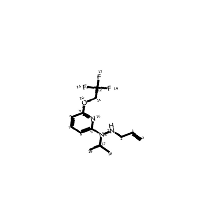 C=CCNN(c1cccc(OCC(F)(F)F)n1)C(C)C